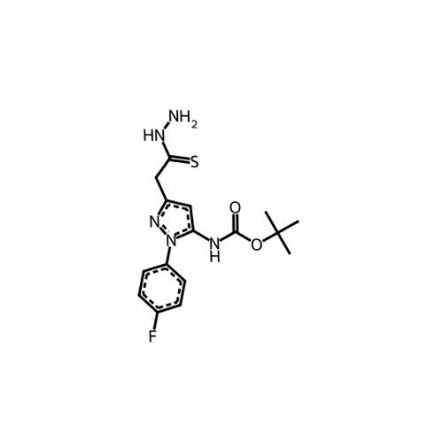 CC(C)(C)OC(=O)Nc1cc(CC(=S)NN)nn1-c1ccc(F)cc1